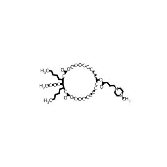 C=C=C=C=C1C(CCCCC)CC(=O)OCCCCCCCCC(OC(=O)CCCN2CCN(C)CC2)CCCCCCCCOC(=O)CC1CCCCC